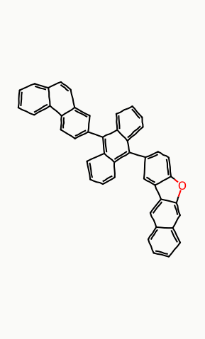 c1ccc2cc3c(cc2c1)oc1ccc(-c2c4ccccc4c(-c4ccc5c(ccc6ccccc65)c4)c4ccccc24)cc13